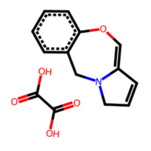 C1=CC2=COc3ccccc3CN2C1.O=C(O)C(=O)O